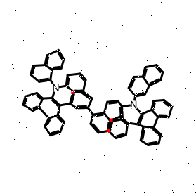 c1ccc(-c2c(N(c3ccc4ccccc4c3)c3ccc4c(-c5cccc(-c6c(N(c7ccccc7)c7cccc8ccccc78)c7ccccc7c7ccccc67)c5)cccc4c3)c3ccccc3c3ccccc23)cc1